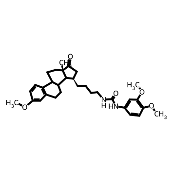 COc1ccc2c(c1)CCC1C2CC[C@]2(C)C(=O)C[C@@H](CCCCNC(=O)Nc3ccc(OC)c(OC)c3)C12